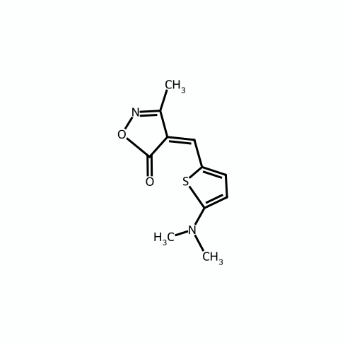 CC1=NOC(=O)C1=Cc1ccc(N(C)C)s1